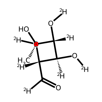 [2H]O[C@@]([2H])([C@@]([2H])(O[2H])C([2H])=O)[C@@]([2H])(O[2H])[C@H](C)O